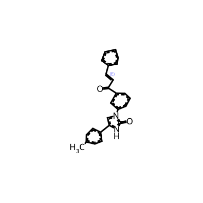 Cc1ccc(-c2cn(-c3cccc(C(=O)/C=C/c4ccccc4)c3)c(=O)[nH]2)cc1